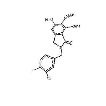 COc1cc2c(c(OC)c1OC)C(=O)N(Cc1ccc(F)c(Cl)c1)C2